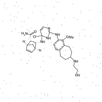 COc1c(NC2=NC=CC(Cl)(N[C@H]3[C@@H](C(N)=O)[C@@H]4C=C[C@H]3C4)N2)ccc2c1CCC(NCCO)CC2